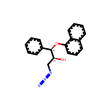 [N-]=[N+]=NC[C@H](O)[C@H](Oc1cccc2ccccc12)c1ccccc1